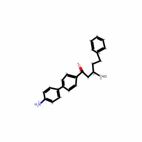 Nc1ccc(-c2ccc(C(=O)CC(C=O)CCc3ccccc3)cc2)cc1